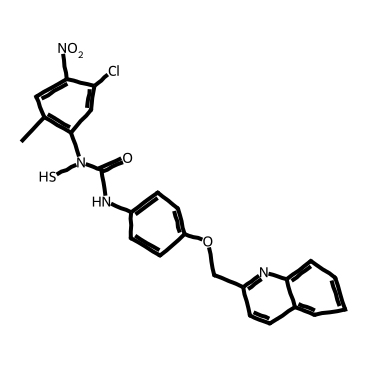 Cc1cc([N+](=O)[O-])c(Cl)cc1N(S)C(=O)Nc1ccc(OCc2ccc3ccccc3n2)cc1